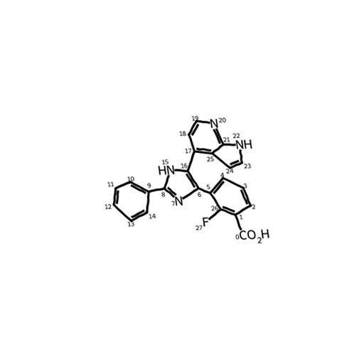 O=C(O)c1cccc(-c2nc(-c3ccccc3)[nH]c2-c2ccnc3[nH]ccc23)c1F